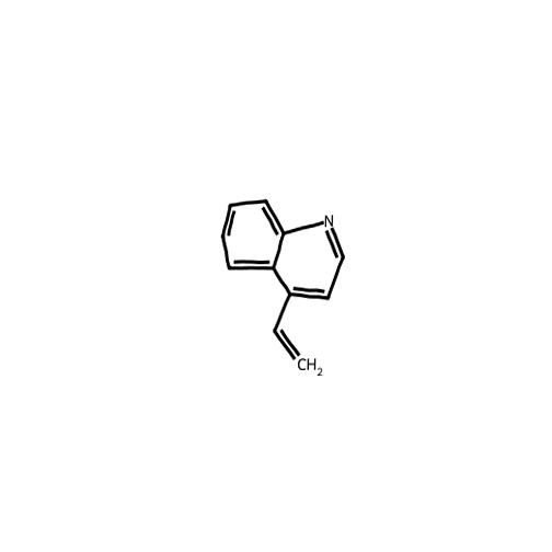 C=Cc1ccnc2ccccc12